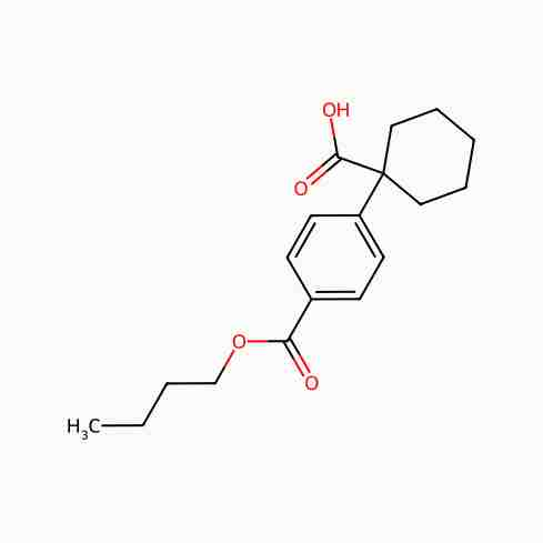 CCCCOC(=O)c1ccc(C2(C(=O)O)CCCCC2)cc1